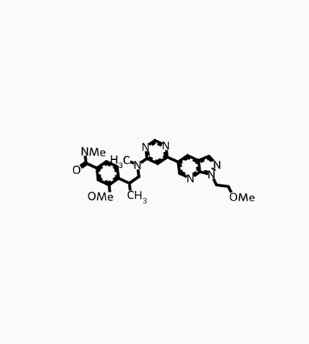 CNC(=O)c1ccc(C(C)CN(C)c2cc(-c3cnc4c(cnn4CCOC)c3)ncn2)c(OC)c1